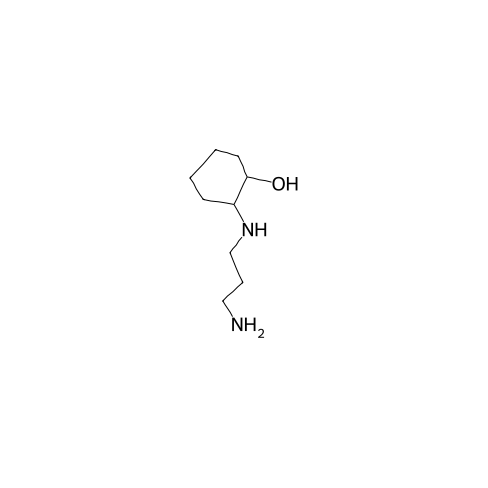 NCCCNC1CCCCC1O